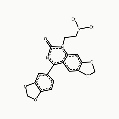 CCN(CC)CCn1c(=O)nc(-c2ccc3c(c2)OCO3)c2cc3c(cc21)OCO3